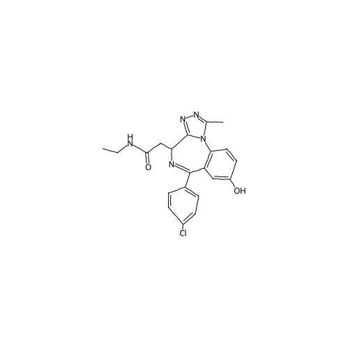 CCNC(=O)CC1N=C(c2ccc(Cl)cc2)c2cc(O)ccc2-n2c(C)nnc21